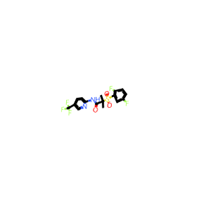 CC(C)(C(=O)Nc1ccc(C(F)(F)F)cn1)S(=O)(=O)c1cc(F)ccc1F